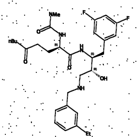 CCCCC(=O)CC[C@@H](NC(=O)NC)C(=O)N[C@@H](Cc1cc(F)cc(F)c1)[C@H](O)CNCc1cccc(CC)c1